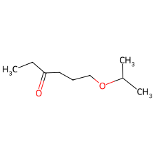 CCC(=O)CCCOC(C)C